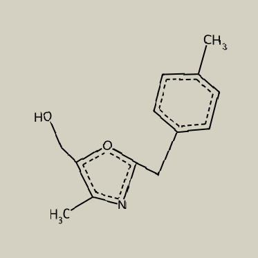 Cc1ccc(Cc2nc(C)c(CO)o2)cc1